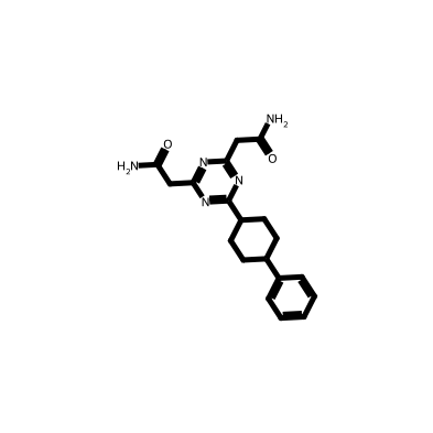 NC(=O)Cc1nc(CC(N)=O)nc(C2CCC(c3ccccc3)CC2)n1